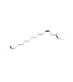 CCCCC/C=C(\C)C/C=C\CCCCCCCCCC(=O)OC